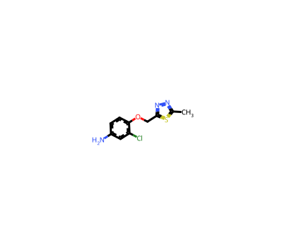 Cc1nnc(COc2ccc(N)cc2Cl)s1